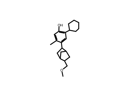 COCC1CC2CC1CC2c1cc(C2CCCCC2)c(O)cc1C